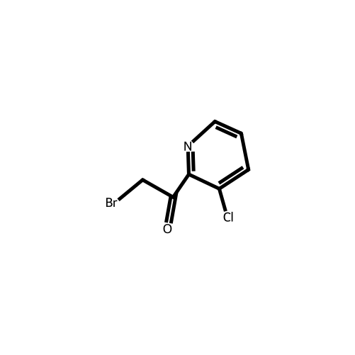 O=C(CBr)c1ncccc1Cl